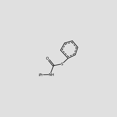 CC(C)NC(=O)Sc1ccccc1